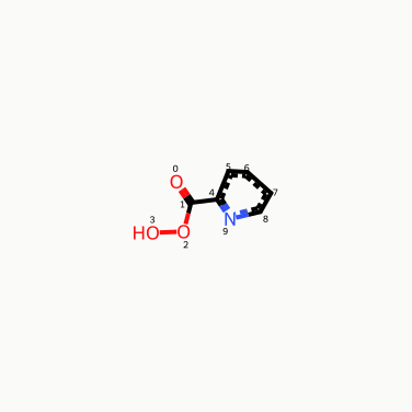 O=C(OO)c1ccccn1